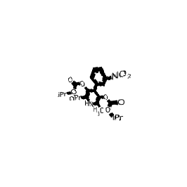 CCCC1=C(OC(=O)OC(C)C)C(c2cccc([N+](=O)[O-])c2)C(OC(=O)OC(C)C)=C(C)N1